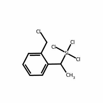 CC(c1ccccc1CCl)[Si](Cl)(Cl)Cl